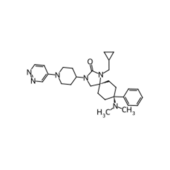 CN(C)[C@]1(c2ccccc2)CC[C@@]2(CC1)CN(C1CCN(c3ccnnc3)CC1)C(=O)N2CC1CC1